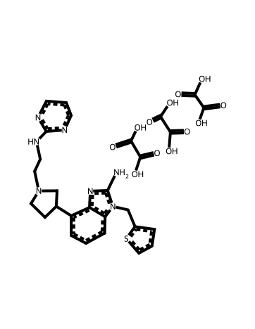 Nc1nc2c(C3CCN(CCNc4ncccn4)C3)cccc2n1Cc1cccs1.O=C(O)C(=O)O.O=C(O)C(=O)O.O=C(O)C(=O)O